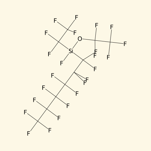 FC(F)(F)C(F)(F)O[Si](F)(C(F)(F)C(F)(F)F)C(F)(F)C(F)(F)C(F)(F)C(F)(F)C(F)(F)C(F)(F)F